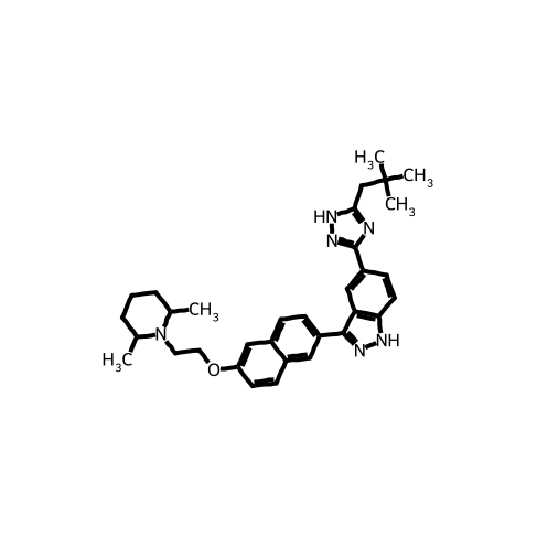 CC1CCCC(C)N1CCOc1ccc2cc(-c3n[nH]c4ccc(-c5n[nH]c(CC(C)(C)C)n5)cc34)ccc2c1